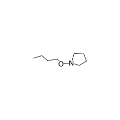 CCCCON1CCCC1